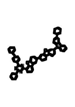 c1ccc(-c2ccc(-c3nc(-c4ccccc4)nc(-c4cccc5c4oc4ccc(-c6ccc7c(c6)oc6cc(-n8c9ccccc9c9cc(-c%10ccccc%10)ccc98)ccc67)cc45)n3)cc2)cc1